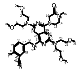 COCCN(CCOC)c1nc(N2CCN(C)C(=O)C2)c2nc(N(CCOC)CCOC)nc(N(C)Cc3ccc(F)c(C#N)c3)c2n1